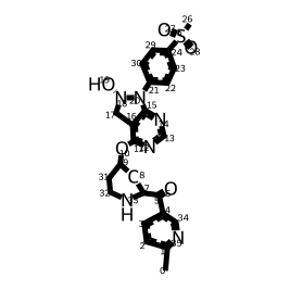 Cc1ccc(C(=O)C2CC(Oc3ncnc4c3CN(O)N4c3ccc(S(C)(=O)=O)cc3)CCN2)cn1